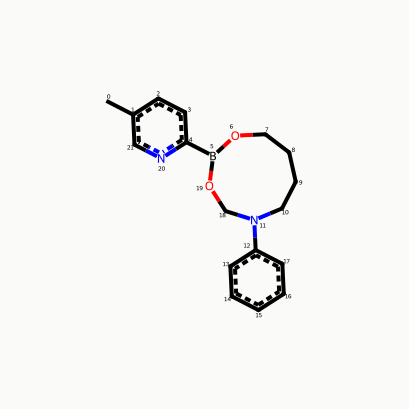 Cc1ccc(B2OCCCCN(c3ccccc3)CO2)nc1